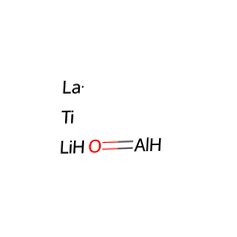 [La].[LiH].[O]=[AlH].[Ti]